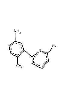 Cc1ccc(N)cc1-c1cccc(C#N)n1